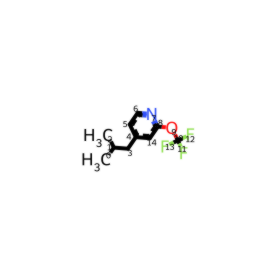 CC(C)Cc1ccnc(OC(F)(F)F)c1